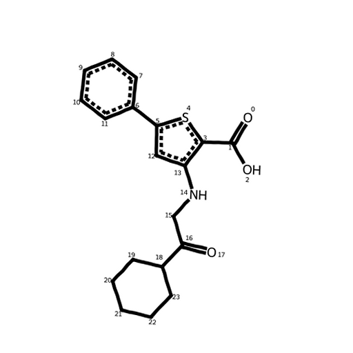 O=C(O)c1sc(-c2ccccc2)cc1NCC(=O)C1CCCCC1